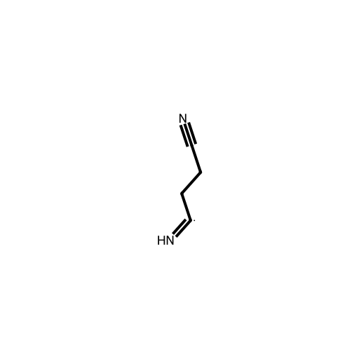 N#CCC[C]=N